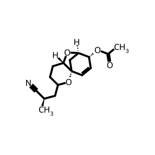 CC(=O)O[C@@H]1C=C[C@]23C[C@H]1O[C@H]2CCC(C[C@@H](C)C#N)O3